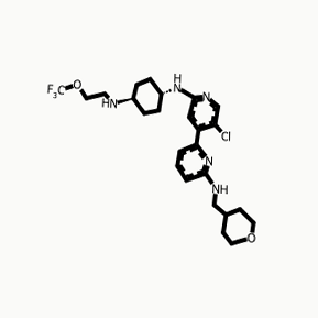 FC(F)(F)OCCN[C@H]1CC[C@H](Nc2cc(-c3cccc(NCC4CCOCC4)n3)c(Cl)cn2)CC1